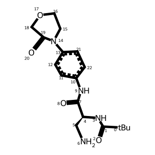 CC(C)(C)C(=O)N[C@@H](CN)C(=O)Nc1ccc(N2CCOCC2=O)cc1